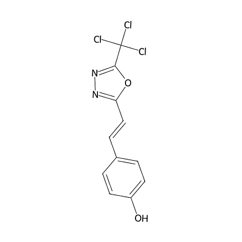 Oc1ccc(C=Cc2nnc(C(Cl)(Cl)Cl)o2)cc1